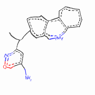 CC(c1ccc2c(c1)[nH]c1ccccc12)c1cc(N)on1